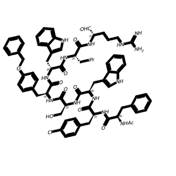 CC(=O)N[C@H](Cc1ccccc1)C(=O)N[C@@H](Cc1ccc(Cl)cc1)C(=O)N[C@H](Cc1c[nH]c2ccccc12)C(=O)N[C@@H](CO)C(=O)N[C@@H](Cc1ccc(OCc2ccccc2)cc1)C(=O)N[C@H](Cc1c[nH]c2ccccc12)C(=O)N[C@@H](CC(C)C)C(=O)N[C@H]([C]=O)CCCNC(=N)N